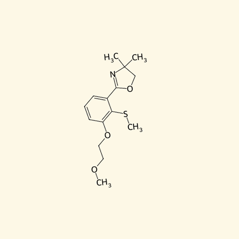 COCCOc1cccc(C2=NC(C)(C)CO2)c1SC